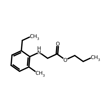 CCCOC(=O)CNc1c(C)cccc1CC